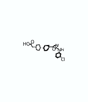 O=C(O)C[C@H]1CC[C@H](c2ccc(-c3cnc(Nc4cccc(Cl)c4)o3)cc2)CC1